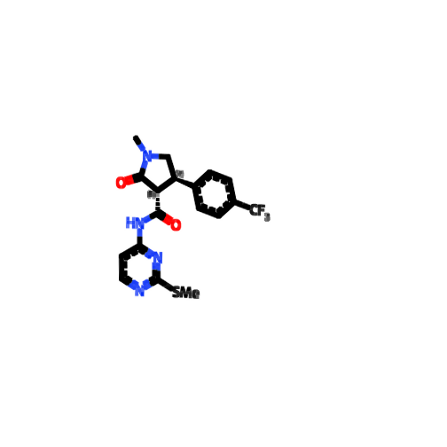 CSc1nccc(NC(=O)[C@@H]2C(=O)N(C)C[C@H]2c2ccc(C(F)(F)F)cc2)n1